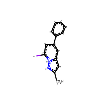 O=C(O)c1cc2cc(-c3ccccc3)cc(I)n2n1